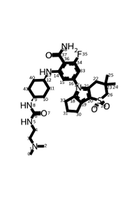 CN(C)CCNC(=O)N[C@H]1CC[C@H](Nc2cc(-n3c4c(c5c3CC(C)(C)CS5(=O)=O)CCC4)cc(F)c2C(N)=O)CC1